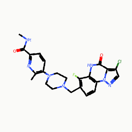 CNC(=O)c1ccc(N2CCN(Cc3ccc4c([nH]c(=O)c5c(Cl)cnn54)c3F)CC2)c(C)n1